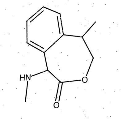 CNC1C(=O)OCC(C)c2ccccc21